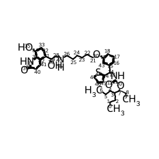 CCCC(CCC)[C@H](CC)OC(=O)NC(c1cccc(OCCCCCCNC[C@H](O)c2ccc(O)c3[nH]c(=O)ccc23)c1)c1cccs1